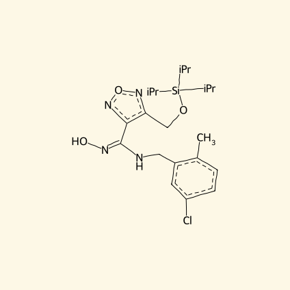 Cc1ccc(Cl)cc1CN/C(=N/O)c1nonc1CO[Si](C(C)C)(C(C)C)C(C)C